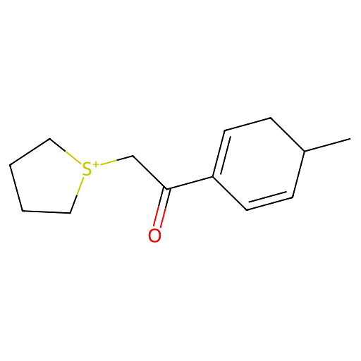 CC1C=CC(C(=O)C[S+]2CCCC2)=CC1